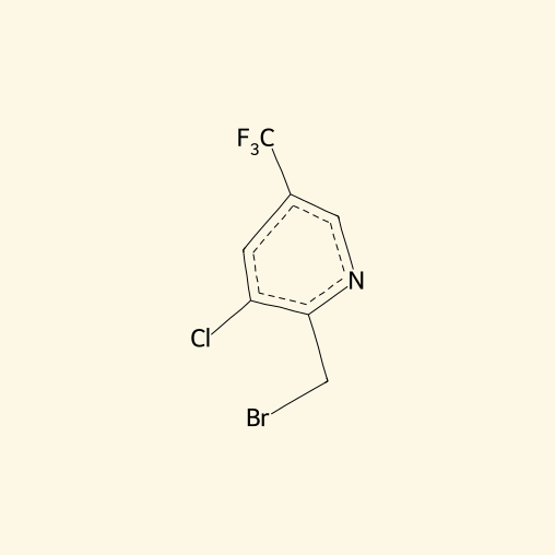 FC(F)(F)c1cnc(CBr)c(Cl)c1